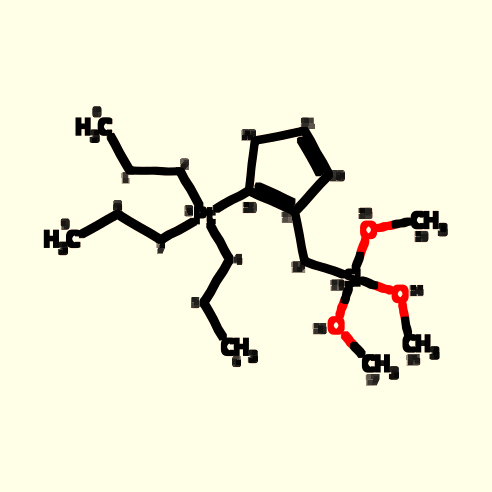 CC[CH2][Pt]([CH2]CC)([CH2]CC)[C]1=C(C[Si](OC)(OC)OC)C=CC1